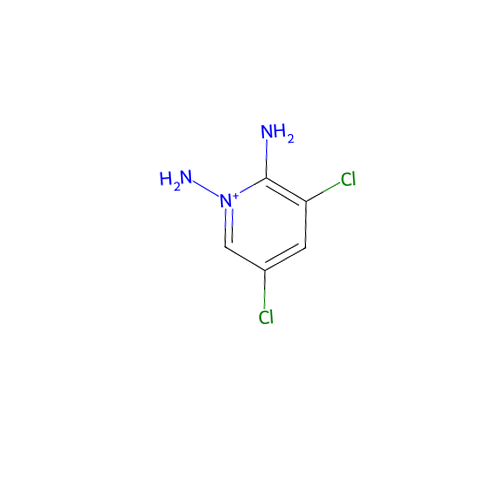 Nc1c(Cl)cc(Cl)c[n+]1N